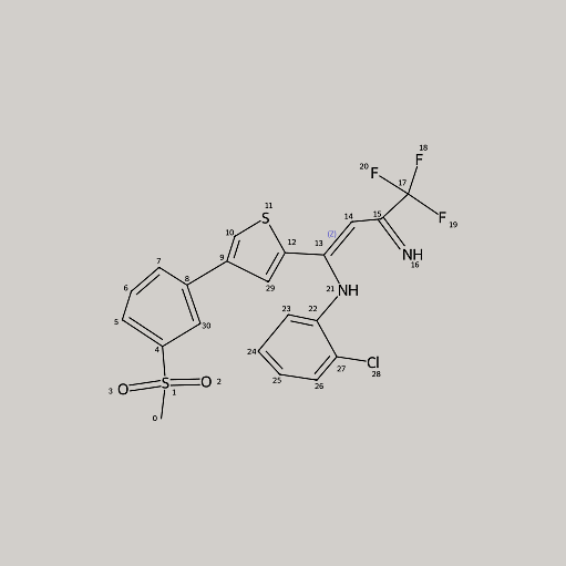 CS(=O)(=O)c1cccc(-c2csc(/C(=C/C(=N)C(F)(F)F)Nc3ccccc3Cl)c2)c1